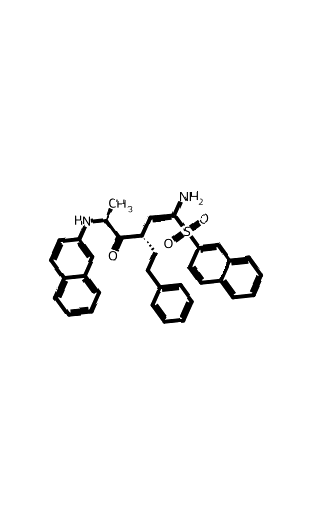 C[C@H](Nc1ccc2ccccc2c1)C(=O)[C@H](C=C(N)S(=O)(=O)c1ccc2ccccc2c1)CCc1ccccc1